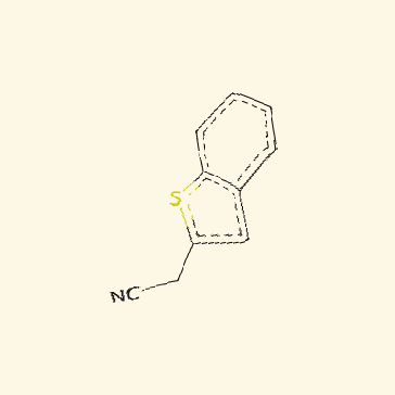 N#CCc1cc2ccccc2s1